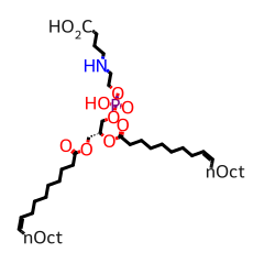 CCCCCCCC/C=C\CCCCCCCC(=O)OC[C@H](COP(=O)(O)OCCNCCCC(=O)O)OC(=O)CCCCCCC/C=C\CCCCCCCC